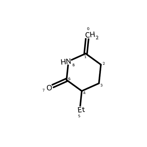 C=C1CCC(CC)C(=O)N1